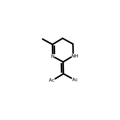 CC(=O)C(C(C)=O)=C1N=C(C)CCN1